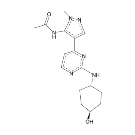 CC(=O)Nc1c(-c2ccnc(N[C@H]3CC[C@H](O)CC3)n2)cnn1C